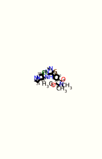 COC[C@H](C)N(C)C(=O)[C@H]1CCc2c(sc3ncnc(Nc4cc5ccnn5cc4Cl)c23)C1